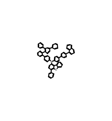 c1ccc(-c2ccc(-c3ccccc3-c3ccc(N(c4ccc(-c5ccc(-c6cccc7ccccc67)cc5)cc4)c4ccc(-c5ccccc5)c5oc6ccccc6c45)cc3)c(-c3ccccc3)c2)cc1